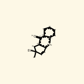 CCC1(C)C=Cc2sc3ccccc3c(=O)c2C1